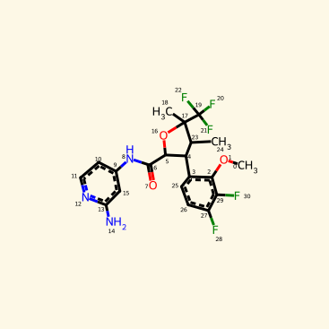 COc1c(C2C(C(=O)Nc3ccnc(N)c3)OC(C)(C(F)(F)F)C2C)ccc(F)c1F